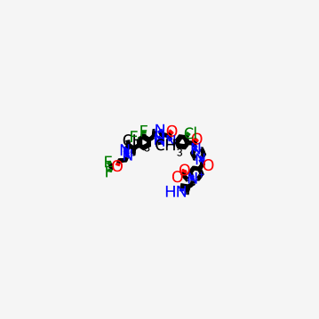 Cc1nn(CCOC(F)F)cc1-c1ccc(-c2cnc(C(=O)Nc3ccc(C(=O)N4CCN(C(=O)C5CC[N+](CC(=O)[O-])(CC6CNC6)CC5)CC4)c(Cl)c3)n2C)c(F)c1F